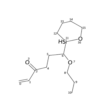 C=CC(=O)CCC(OCCC)[SiH]1CCCCO1